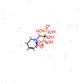 O=P(O)(O)C(O)(C[N+]1=CC=CCC1)P(=O)(O)O